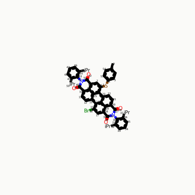 Cc1ccc(Sc2cc3c4c(ccc5c6c(Br)cc7c8c(ccc(c2c45)c86)C(=O)N(c2c(C(C)C)cccc2C(C)C)C7=O)C(=O)N(c2c(C(C)C)cccc2C(C)C)C3=O)cc1